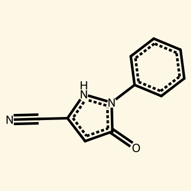 N#Cc1cc(=O)n(-c2ccccc2)[nH]1